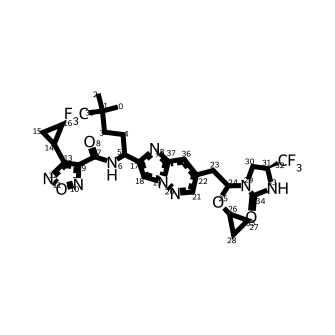 CC(C)(CCC(NC(=O)c1nonc1C1CC1)c1cn2ncc(CC(OC3CC3)N3C[C@@H](C(F)(F)F)NC3=O)cc2n1)C(F)(F)F